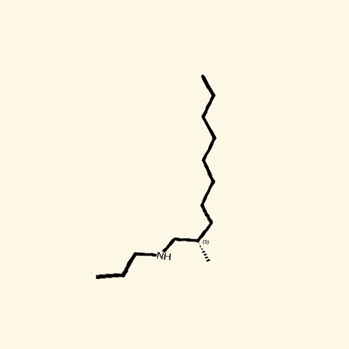 CCCCCCCC[C@H](C)CNCCC